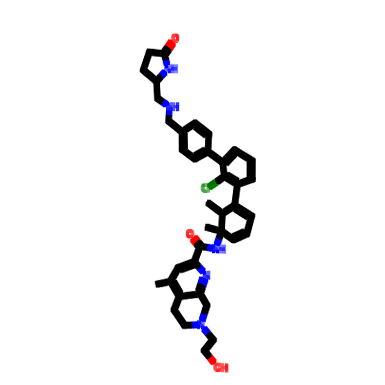 Cc1cc(C(=O)NC2(C)C=CC=C(c3cccc(-c4ccc(CNCC5CCC(=O)N5)cc4)c3Cl)C2C)nc2c1CCN(CCO)C2